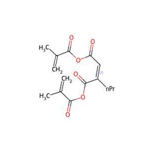 C=C(C)C(=O)OC(=O)/C=C(/CCC)C(=O)OC(=O)C(=C)C